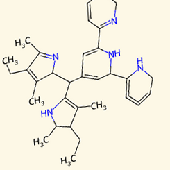 CCC1=C(C)C(C(C2=CC(C3=C=C=CCN3)NC(C3=NCCC=C3)=C2)C2=C(C)C(CC)C(C)N2)N=C1C